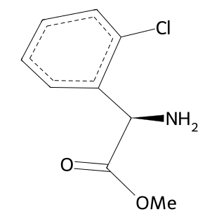 COC(=O)[C@H](N)c1ccccc1Cl